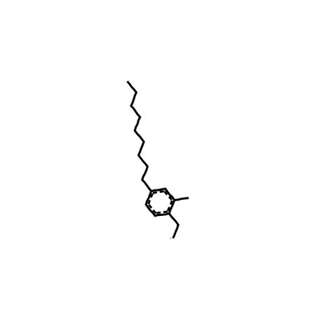 [CH2]Cc1ccc(CCCCCCCCC)cc1C